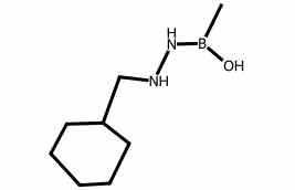 CB(O)NNCC1CCCCC1